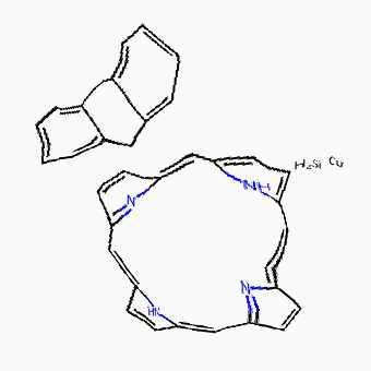 C1=Cc2cc3ccc(cc4nc(cc5ccc(cc1n2)[nH]5)C=C4)[nH]3.[Cu].[SiH4].c1ccc2c(c1)Cc1ccccc1-2